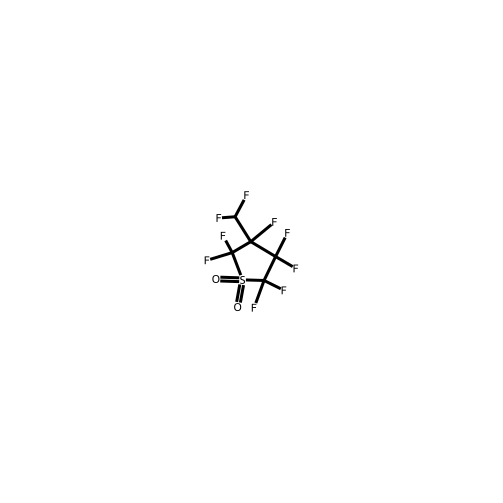 O=S1(=O)C(F)(F)C(F)(F)C(F)(C(F)F)C1(F)F